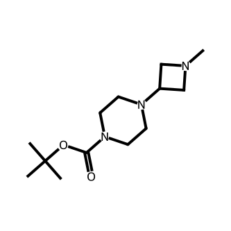 CN1CC(N2CCN(C(=O)OC(C)(C)C)CC2)C1